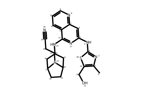 Cc1nc(Nc2cc3ncccc3c(NC3CC4CCC(C3)N4CCC#N)n2)sc1CO